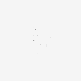 CC12CNCCN1C(=O)N(c1ccc(CC(=O)O)cc1)C2.O=C(O)C(F)(F)F